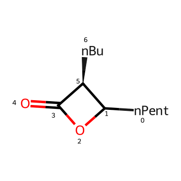 CCCCCC1OC(=O)[C@H]1CCCC